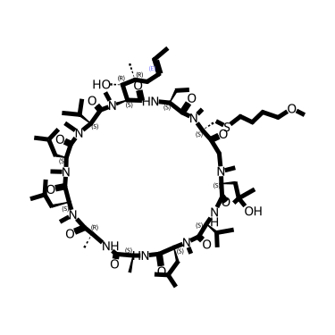 C/C=C/C[C@@H](C)[C@@H](O)[C@H]1C(=O)N[C@@H](CC)C(=O)N(C)[C@H](CSCCCCOC)C(=O)CN(C)[C@@H](CC(C)(C)O)C(=O)N[C@@H](C(C)C)C(=O)N(C)[C@@H](CC(C)C)C(=O)N[C@@H](C)C(=O)N[C@H](C)C(=O)N(C)[C@@H](CC(C)C)C(=O)N(C)[C@@H](CC(C)C)C(=O)N(C)[C@@H](C(C)C)C(=O)N1C